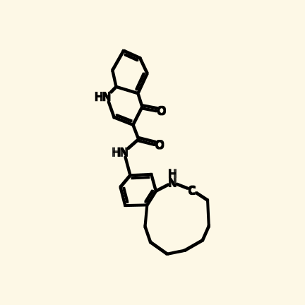 O=C(Nc1ccc2c(c1)NCCCCCCCC2)C1=CNC2CC=CC=C2C1=O